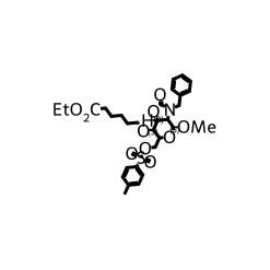 CCOC(=O)CCCCCO[C@@H]1C(COS(=O)(=O)c2ccc(C)cc2)O[C@H](OC)C2[C@H]1OC(=O)N2Cc1ccccc1